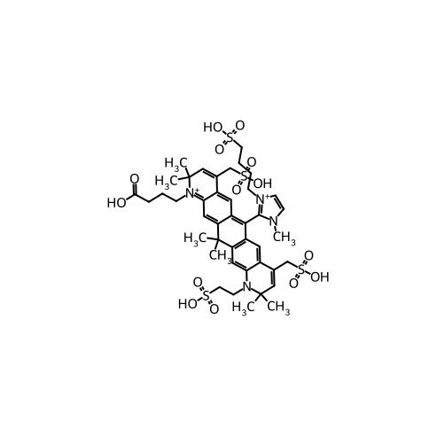 Cn1cc[n+](CCCCS(=O)(=O)O)c1C1=c2cc3c(cc2C(C)(C)c2cc4c(cc21)C(CS(=O)(=O)O)=CC(C)(C)N4CCS(=O)(=O)O)=[N+](CCCC(=O)O)C(C)(C)C=C3CS(=O)(=O)O